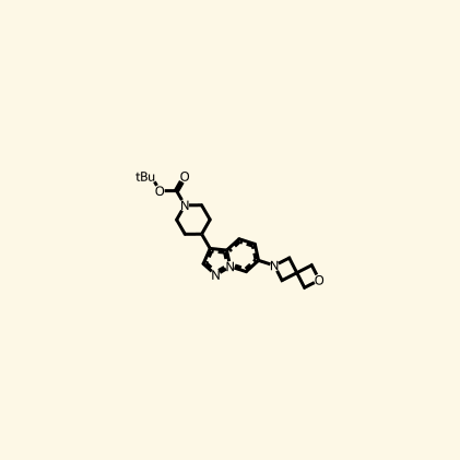 CC(C)(C)OC(=O)N1CCC(c2cnn3cc(N4CC5(COC5)C4)ccc23)CC1